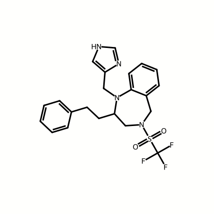 O=S(=O)(N1Cc2ccccc2N(Cc2c[nH]cn2)C(CCc2ccccc2)C1)C(F)(F)F